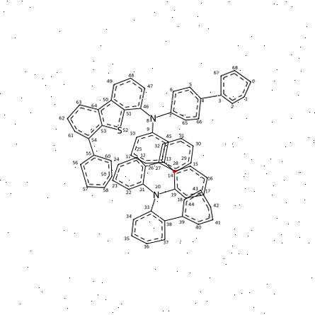 c1ccc(-c2ccc(N(c3cccc(-c4ccccc4N(c4ccccc4-c4ccccc4)c4ccccc4-c4ccccc4)c3)c3cccc4c3sc3c(-c5ccccc5)cccc34)cc2)cc1